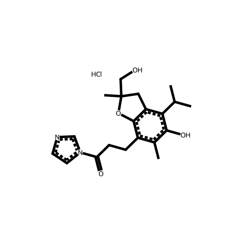 Cc1c(O)c(C(C)C)c2c(c1CCC(=O)n1ccnc1)OC(C)(CO)C2.Cl